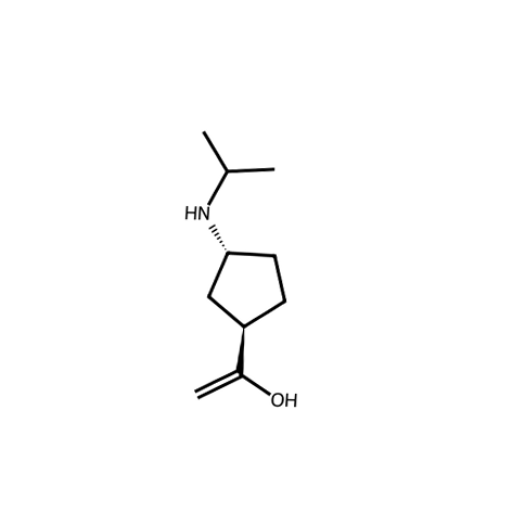 C=C(O)[C@@H]1CC[C@@H](NC(C)C)C1